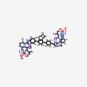 COC(=O)N[C@H](C(=O)N1[C@@H]2CC[C@@H](C2)[C@H]1c1ncc(-c2ccc(-c3ccc(-c4ccc5nc([C@@H]6[C@H](C)CC[C@H](C)N6C(=O)[C@@H](NC(=O)OC)C(C)C)[nH]c5c4)c4c3C3CCC3C4)cc2)[nH]1)C(C)C